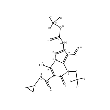 CC(C)(C)Cn1c(=O)c(C(=O)NC2CC2)c(O)n2nc(NC(=O)OC(C)(C)C)c(C=O)c12